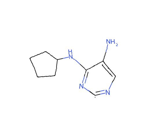 Nc1cn[c]nc1NC1CCCC1